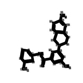 Cc1cccc(NC(=O)c2cc(C)cc(N3CCc4nc(N)ncc4C3)n2)c1